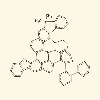 CC1(C)c2ccccc2-c2c(C3=C(N(c4ccccc4-c4ccccc4-c4ccccc4-c4ccccc4)c4ccccc4-c4cccc5c4sc4ccccc45)C=CCC3)cccc21